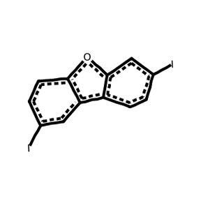 Ic1ccc2c(c1)oc1ccc(I)cc12